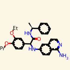 CCOc1cc(C(Nc2ccc3c(N)nccc3c2)C(=O)N[C@@H](C)c2ccccc2)ccc1OC(C)C